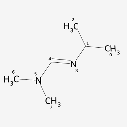 CC(C)N=CN(C)C